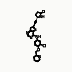 O=C1CC[C@@H](C#Cc2cc3ncnc(Nc4ccc(OCc5ccccn5)c(Cl)c4)c3s2)N1